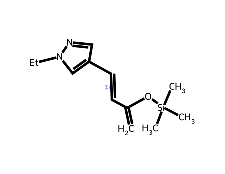 C=C(/C=C/c1cnn(CC)c1)O[Si](C)(C)C